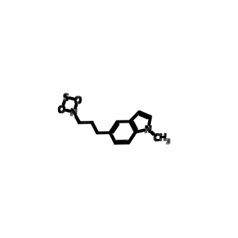 Cn1ccc2cc(CCCN3OSO3)ccc21